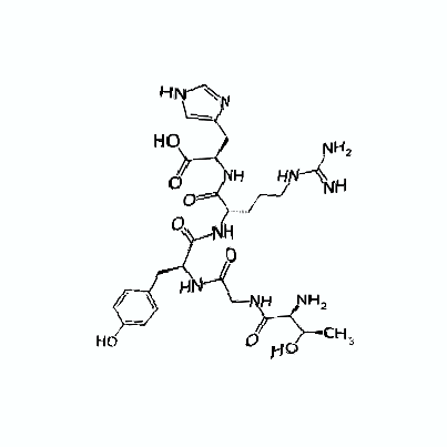 C[C@@H](O)[C@H](N)C(=O)NCC(=O)N[C@@H](Cc1ccc(O)cc1)C(=O)N[C@@H](CCCNC(=N)N)C(=O)N[C@H](Cc1c[nH]cn1)C(=O)O